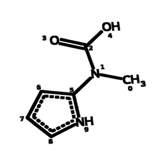 CN(C(=O)O)c1ccc[nH]1